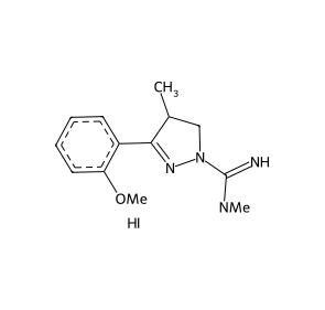 CNC(=N)N1CC(C)C(c2ccccc2OC)=N1.I